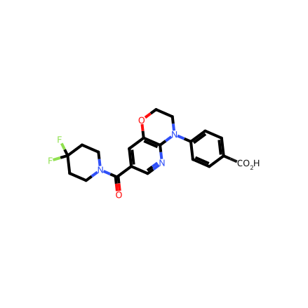 O=C(O)c1ccc(N2CCOc3cc(C(=O)N4CCC(F)(F)CC4)cnc32)cc1